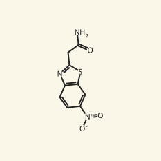 NC(=O)Cc1nc2ccc([N+](=O)[O-])cc2s1